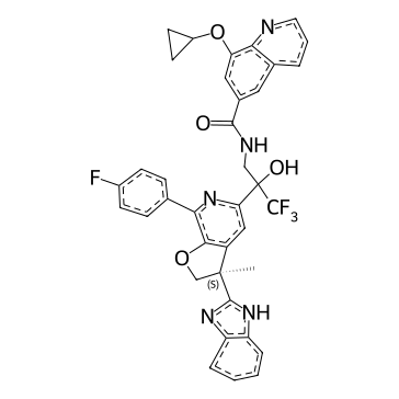 C[C@]1(c2nc3ccccc3[nH]2)COc2c1cc(C(O)(CNC(=O)c1cc(OC3CC3)c3ncccc3c1)C(F)(F)F)nc2-c1ccc(F)cc1